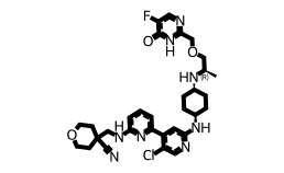 C[C@H](COCc1ncc(F)c(=O)[nH]1)N[C@H]1CC[C@H](Nc2cc(-c3cccc(NCC4(C#N)CCOCC4)n3)c(Cl)cn2)CC1